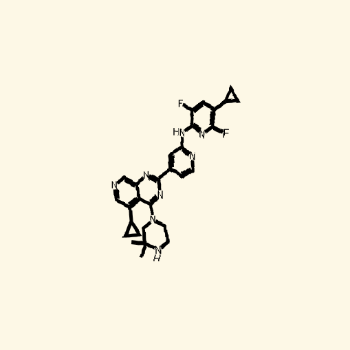 CC1(C)CN(c2nc(-c3ccnc(Nc4nc(F)c(C5CC5)cc4F)c3)nc3cncc(C4CC4)c23)CCN1